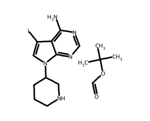 CC(C)(C)OC=O.Nc1ncnc2c1c(I)cn2C1CCCNC1